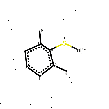 CC[CH]Sc1c(C)cccc1C